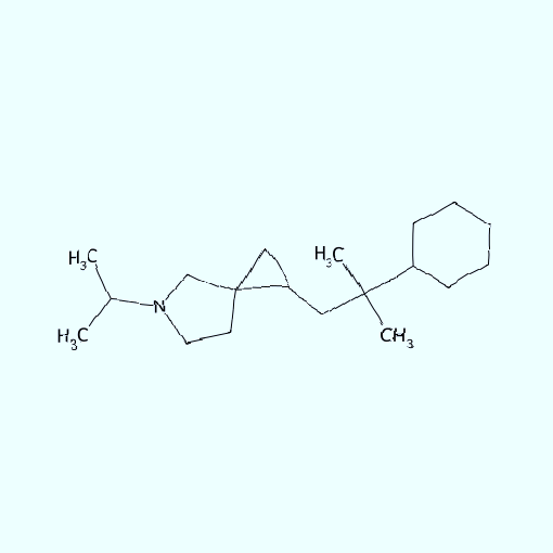 CC(C)N1CCC2(CC2CC(C)(C)C2CCCCC2)C1